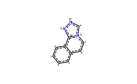 c1ccc2c(c1)ccn1cnnc21